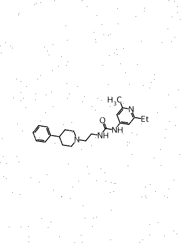 CCc1cc(NC(=O)NCCN2CCC(c3ccccc3)CC2)cc(C)n1